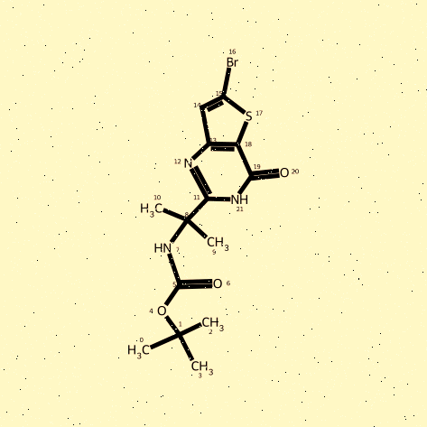 CC(C)(C)OC(=O)NC(C)(C)c1nc2cc(Br)sc2c(=O)[nH]1